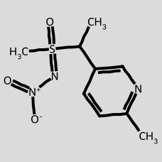 Cc1ccc(C(C)S(C)(=O)=N[N+](=O)[O-])cn1